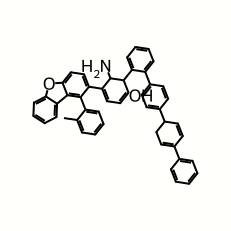 Cc1ccccc1-c1c(C2=CC=C(O)C(c3ccccc3-c3ccc(C4C=CC(c5ccccc5)=CC4)cc3)C2N)ccc2oc3ccccc3c12